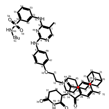 Cc1cnc(Nc2ccc(OCCN3CCC(CN4CC5CC(C4)N5c4cc5c(cc4F)C(=O)N(C4CCC(=O)NC4=O)C5=O)CC3)cc2)nc1Nc1cccc(S(=O)(=O)NC(C)(C)C)c1